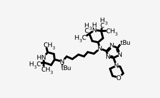 CC1CC(N(CCCCCCN(c2nc(N3CCOCC3)nc(C(C)(C)C)n2)C2CC(C)(C)NC(C)(C)C2)C(C)(C)C)CC(C)(C)N1